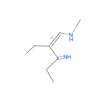 CCC(=N)/C(=C\NC)CC